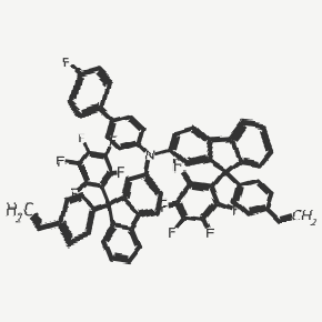 C=Cc1ccc(C2(c3c(F)c(F)c(F)c(F)c3F)c3ccccc3-c3ccc(N(c4ccc(-c5ccc(F)cc5)cc4)c4ccc5c(c4)C(c4ccc(C=C)cc4)(c4c(F)c(F)c(F)c(F)c4F)c4ccccc4-5)cc32)cc1